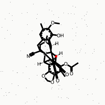 COc1c(C)cc2c(c1O)[C@H]1C3[C@@H]4SCC(=O)C(=O)OC[C@@H](c5c6c(c(C)c(OC(C)=O)c54)OCO6)N3C(C#N)(C2)CN1C